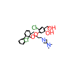 CN(C)C1CN(CCCOC2(COc3cc(O)c(CO)cc3Cl)C=CC=C(c3ccccc3)C2(C)Cl)C1